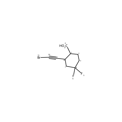 O=C(O)C1CCC(F)(F)CC1C#CBr